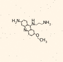 CCOc1ccc2nc3cc(N)ccc3c(NCCCN)c2c1